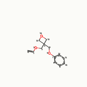 C=COCC1(COc2ccccc2)COC1